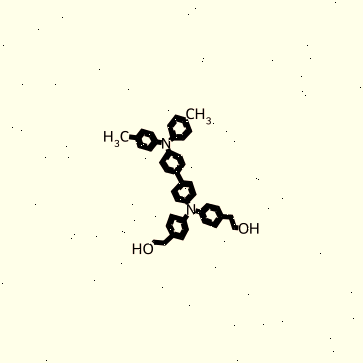 Cc1ccc(N(c2ccc(C)cc2)c2ccc(-c3ccc(N(c4ccc(CCO)cc4)c4ccc(CCO)cc4)cc3)cc2)cc1